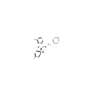 CC[C@]1(C)N[C@@H](C(=O)N[C@H]2CC[C@H](O)CC2)[C@H](c2cccc(Cl)c2F)[C@]12C(=O)Nc1cc(Cl)ccc12